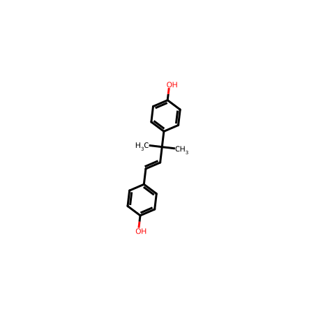 CC(C)(C=Cc1ccc(O)cc1)c1ccc(O)cc1